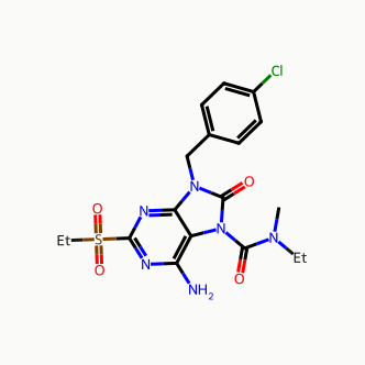 CCN(C)C(=O)n1c(=O)n(Cc2ccc(Cl)cc2)c2nc(S(=O)(=O)CC)nc(N)c21